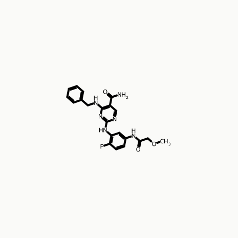 COCC(=O)Nc1ccc(F)c(Nc2ncc(C(N)=O)c(NCc3ccccc3)n2)c1